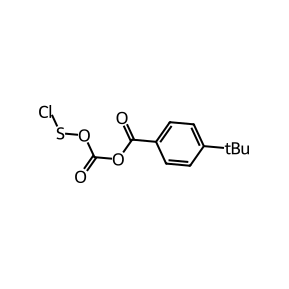 CC(C)(C)c1ccc(C(=O)OC(=O)OSCl)cc1